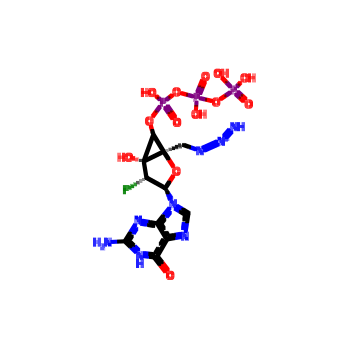 N=[N+]=NC[C@]12O[C@@H](n3cnc4c(=O)[nH]c(N)nc43)[C@H](F)[C@@]1(O)C2OP(=O)(O)OP(=O)(O)OP(=O)(O)O